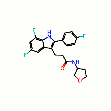 O=C(CCc1c(-c2ccc(F)cc2)[nH]c2c(F)cc(F)cc12)NC1CCOC1